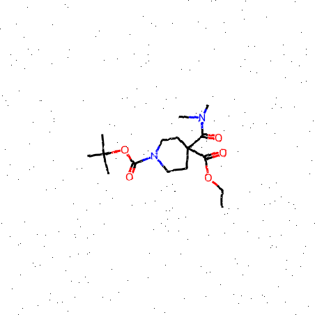 CCOC(=O)C1(C(=O)N(C)C)CCN(C(=O)OC(C)(C)C)CC1